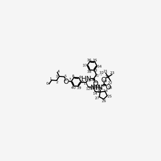 CCCC(C)COc1ccc([C@H](CNCC2(NC(=O)OC(C)(C)C)CCCC2)NC(=O)[C@@H](C)c2ccccc2)cc1